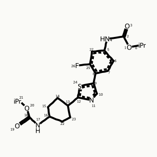 CC(C)OC(=O)Nc1ccc(-c2cnc(C3CCC(NC(=O)OC(C)C)CC3)s2)c(F)c1